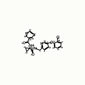 O=C(NC1(C(=O)NCc2ccc(Oc3ccccc3Cl)cn2)CC1)c1cncnc1